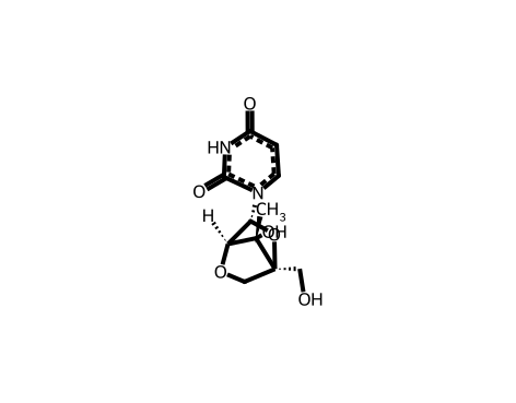 C[C@]1(O)[C@H]2OC[C@]1(CO)O[C@H]2n1ccc(=O)[nH]c1=O